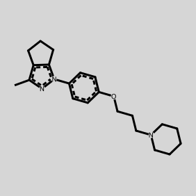 Cc1nn(-c2ccc(OCCCN3CCCCC3)cc2)c2c1CCC2